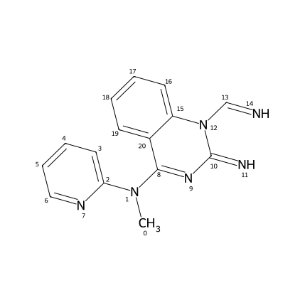 CN(c1ccccn1)c1nc(=N)n(C=N)c2ccccc12